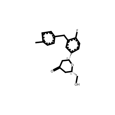 Cc1ccc(Cc2cc([C@H]3CC(=O)C[C@@H](CO)O3)ccc2F)cc1